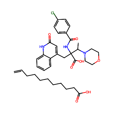 C=CCCCCCCCCC(=O)O.CC(N1CCOCC1)C(Cc1cc(=O)[nH]c2ccccc12)(NC(=O)c1ccc(Cl)cc1)C(=O)O